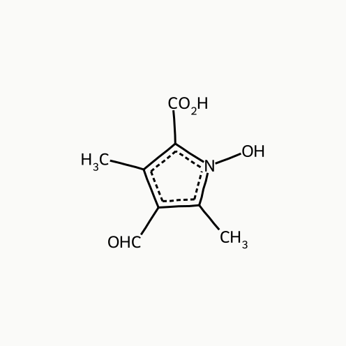 Cc1c(C=O)c(C)n(O)c1C(=O)O